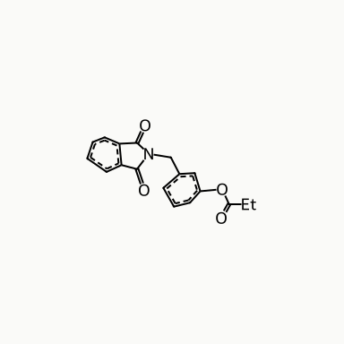 CCC(=O)Oc1cccc(CN2C(=O)c3ccccc3C2=O)c1